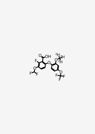 [2H]C([2H])([2H])Oc1cc(OC(F)(F)F)ccc1Oc1ccc(OC(F)F)c(F)c1C(=O)O